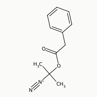 CC(C)([N+]#N)OC(=O)Cc1ccccc1